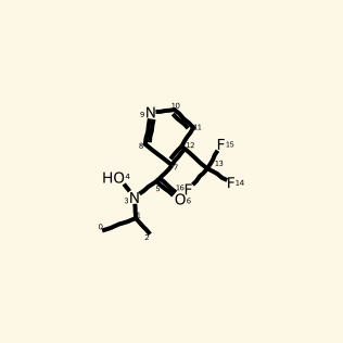 CC(C)N(O)C(=O)c1cnccc1C(F)(F)F